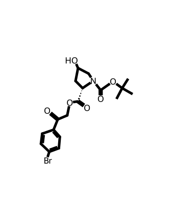 CC(C)(C)OC(=O)N1CC(O)C[C@H]1C(=O)OCC(=O)c1ccc(Br)cc1